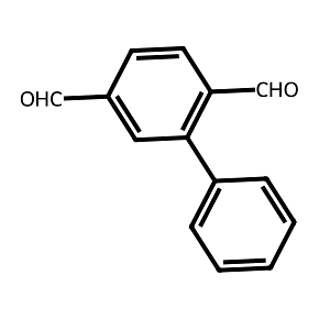 O=Cc1ccc(C=O)c(-c2ccccc2)c1